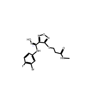 CNC(=O)CCSc1nonc1/C(=N\O)Nc1ccc(F)c(Br)c1